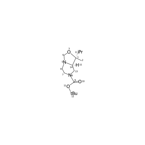 CC(C)[C@@]1(C)OCN2CCN(C(=O)OC(C)(C)C)C[C@@H]21